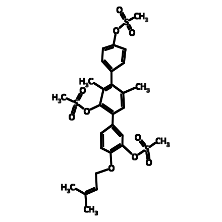 CC(C)=CCOc1ccc(-c2cc(C)c(-c3ccc(OS(C)(=O)=O)cc3)c(C)c2OS(C)(=O)=O)cc1OS(C)(=O)=O